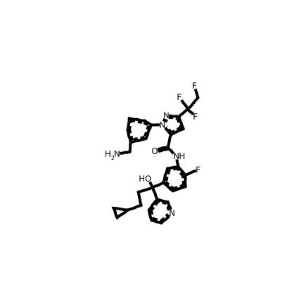 NCc1cccc(-n2nc(C(F)(F)CF)cc2C(=O)Nc2cc(C(O)(CCC3CC3)c3cccnc3)ccc2F)c1